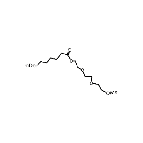 CCCCCCCCCCCCCCCC(=O)OCCOCCOCCOC